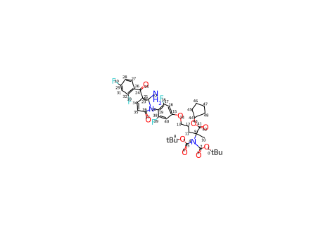 CC(C)(C)OC(=O)N(C(=O)OC(C)(C)C)C(C)(CCCOc1cc(F)c(-n2c(N)c(C(=O)c3ccc(F)cc3F)ccc2=O)c(F)c1)C(=O)OC1CCCC1